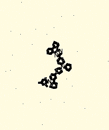 Cc1cc(C)c(-n2c3ccccc3c3cc(-c4ccc(N(c5ccccc5)c5ccc(-c6cnc7c8ccccc8c8ccccc8c7n6)cc5)cc4)ccc32)c(C)c1